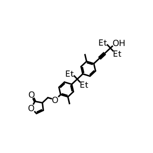 CCC(O)(C#Cc1ccc(C(CC)(CC)c2ccc(OCC3C=COC3=O)c(C)c2)cc1C)CC